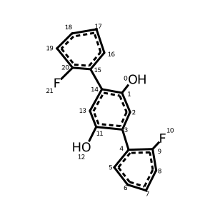 Oc1cc(-c2ccccc2F)c(O)cc1-c1ccccc1F